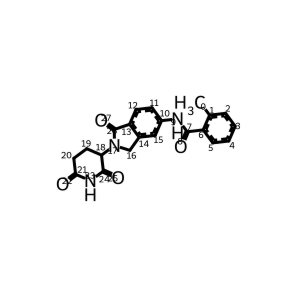 Cc1ccccc1C(=O)Nc1ccc2c(c1)CN(C1CCC(=O)NC1=O)C2=O